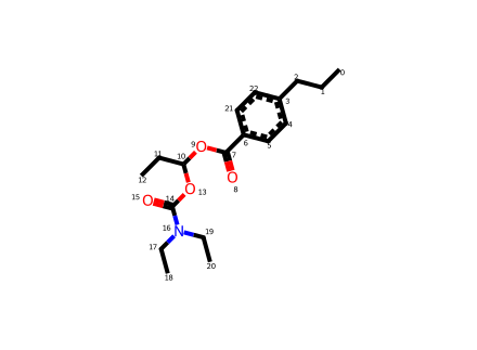 CCCc1ccc(C(=O)OC(CC)OC(=O)N(CC)CC)cc1